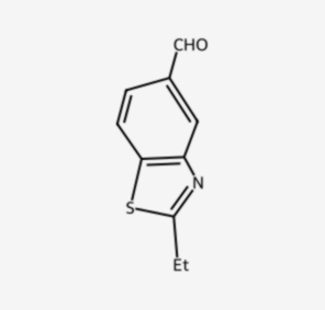 CCc1nc2cc(C=O)ccc2s1